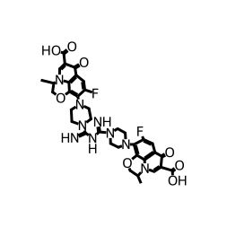 CC1COc2c(N3CCN(C(=N)NC(=N)N4CCN(c5c(F)cc6c(=O)c(C(=O)O)cn7c6c5OCC7C)CC4)CC3)c(F)cc3c(=O)c(C(=O)O)cn1c23